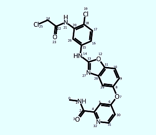 CNC(=O)c1cc(Oc2ccc3oc(Nc4ccc(Cl)c(NC(=O)CCl)c4)nc3c2)ccn1